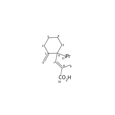 C=C1CCCCC1(C=C(C)C(=O)O)C(C)C